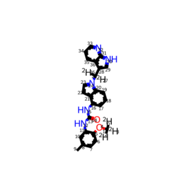 [2H]C([2H])([2H])Oc1ccc(C)cc1NC(=O)Nc1cccc2c1ccn2C([2H])([2H])c1c[nH]c2ncccc12